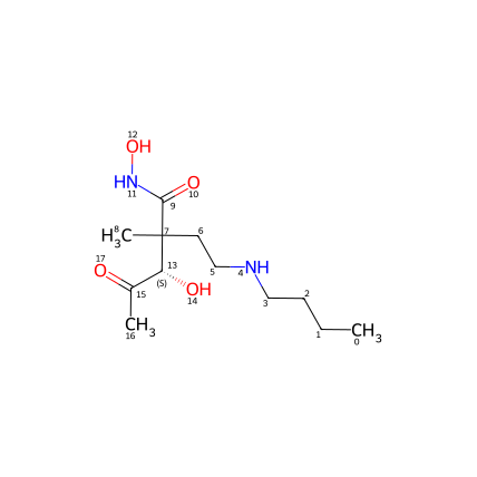 CCCCNCCC(C)(C(=O)NO)[C@H](O)C(C)=O